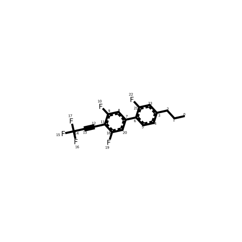 CCCc1ccc(-c2cc(F)c(C#CC(F)(F)F)c(F)c2)c(F)c1